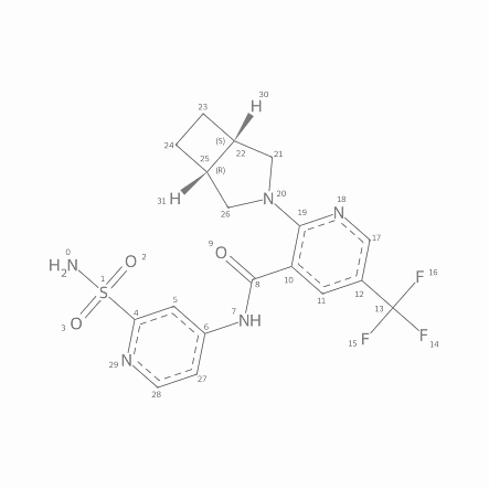 NS(=O)(=O)c1cc(NC(=O)c2cc(C(F)(F)F)cnc2N2C[C@H]3CC[C@H]3C2)ccn1